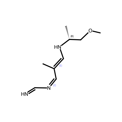 COC[C@@H](C)N/C=C(C)/C=N\C=N